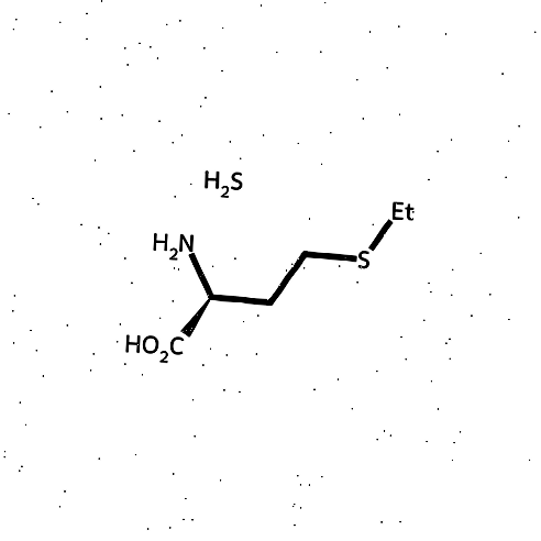 CCSCC[C@H](N)C(=O)O.S